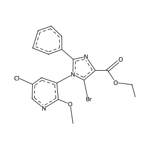 CCOC(=O)c1nc(-c2ccccc2)n(-c2cc(Cl)cnc2OC)c1Br